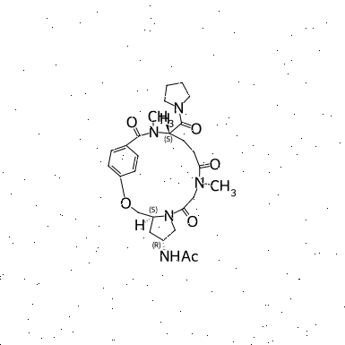 CC(=O)N[C@@H]1C[C@H]2COc3ccc(cc3)C(=O)N(C)[C@H](C(=O)N3CCCC3)CCC(=O)N(C)CC(=O)N2C1